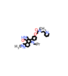 CC(C)Cn1c2ccc(OCC(=O)N(C)CCc3ccccn3)cc2c2c3c(c4c(c21)CCc1nn(C)cc1-4)C(=O)NC3